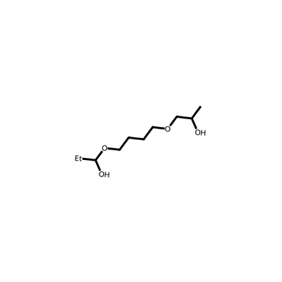 CCC(O)OCCCCOCC(C)O